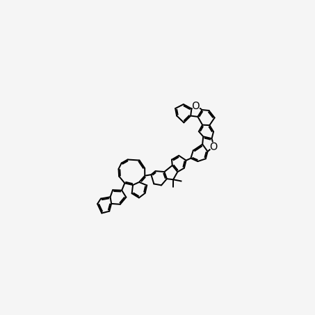 CC1(C)C2=C(C=C(c3ccccccc(-c4ccc5ccccc5c4)c4ccccc34)CC2)c2ccc(-c3ccc4oc5cc6ccc7oc8ccccc8c7c6cc5c4c3)cc21